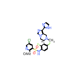 COc1ncc(Cl)cc1S(=O)(=O)Nc1ccc(F)c([C@@H]2Cn3cnc(-c4ncc[nH]4)c3CN2C)c1F